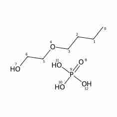 CCCCOCCO.O=P(O)(O)O